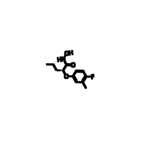 CCC[C@@H](Oc1ccc(F)c(C)c1)C(=O)NO